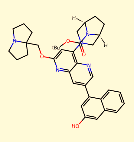 CC(C)(C)OC(=O)N1[C@@H]2CC[C@H]1CN(c1cc(OCC34CCCN3CCC4)nc3cc(-c4cc(O)cc5ccccc45)cnc13)C2